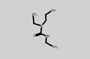 CCNC(=O)N(CC)CCO